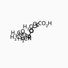 CC(C1CCC1)N(C)C(=O)OCc1c(-c2ccc(C3(C)COC4(CC(=O)O)CC4C3)cc2)cnn1C